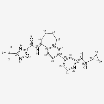 CC(C)(C)c1noc(C(=O)NC2CCCCc3cc(-c4ccnc(NC(=O)C5CC5)c4)ccc32)n1